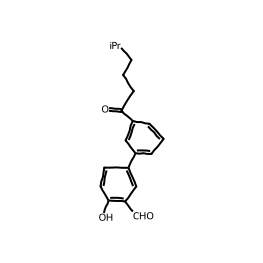 CC(C)CCCC(=O)c1cccc(-c2ccc(O)c(C=O)c2)c1